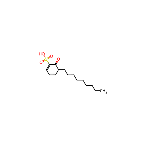 CCCCCCCCCC1C=CC=C(S(=O)(=O)O)C1=O